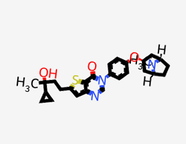 CN1[C@@H]2CC[C@H]1C[C@@H](Oc1ccc(-n3cnc4cc(CCC(C)(O)C5CC5)sc4c3=O)cc1)C2